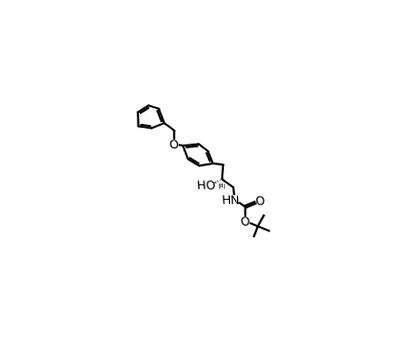 CC(C)(C)OC(=O)NC[C@H](O)Cc1ccc(OCc2ccccc2)cc1